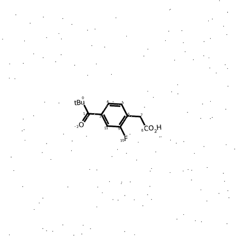 CC(C)(C)C(=O)c1ccc(CC(=O)O)c(F)c1